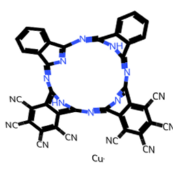 N#Cc1c(C#N)c(C#N)c2c(c1C#N)-c1nc-2nc2[nH]c(nc3nc(nc4[nH]c(n1)c1ccccc41)-c1ccccc1-3)c1c(C#N)c(C#N)c(C#N)c(C#N)c21.[Cu]